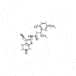 Cc1ccc(Cl)c(C(C)CC(=O)Nc2sc3c(c2C#N)CCNC3)c1